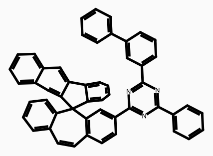 C1=Cc2ccc(-c3nc(-c4ccccc4)nc(-c4cccc(-c5ccccc5)c4)n3)cc2C2(c3ccccc31)c1ccccc1-c1cc3ccccc3cc12